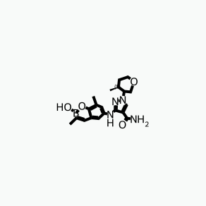 CC1=Cc2cc(Nc3nn(C4COCC[C@@H]4C)cc3C(N)=O)cc(C)c2OB1O